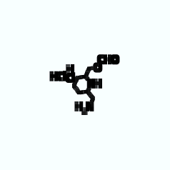 Cl.Cl.NCC1CCCC(COC=O)N1